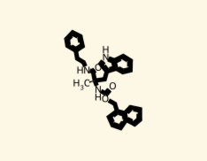 C[C@](Cc1c[nH]c2ccccc12)(NC(=O)OCc1cccc2ccccc12)C(=O)NCCc1ccccc1